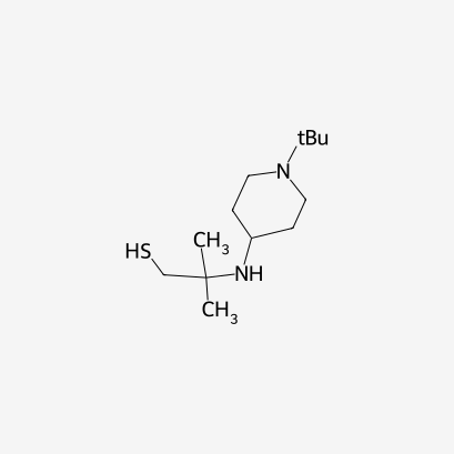 CC(C)(CS)NC1CCN(C(C)(C)C)CC1